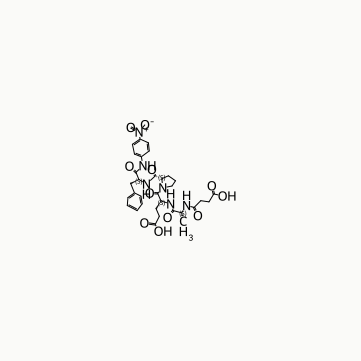 C[C@H](NC(=O)CCC(=O)O)C(=O)N[C@@H](CCC(=O)O)C(=O)N1CCC[C@H]1C(=O)N[C@@H](Cc1ccccc1)C(=O)Nc1ccc([N+](=O)[O-])cc1